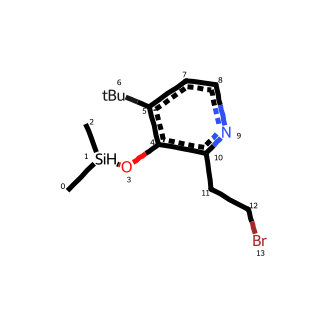 C[SiH](C)Oc1c(C(C)(C)C)ccnc1CCBr